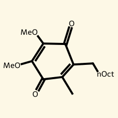 [CH2]CCCCCCCCC1=C(C)C(=O)C(OC)=C(OC)C1=O